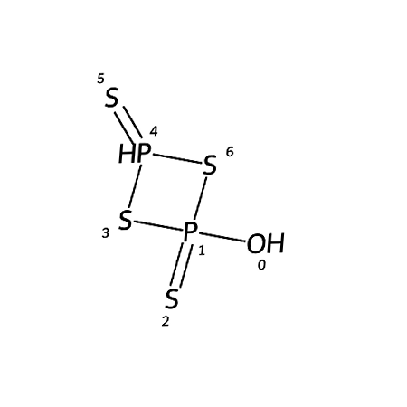 OP1(=S)S[PH](=S)S1